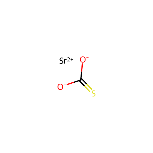 [O-]C([O-])=S.[Sr+2]